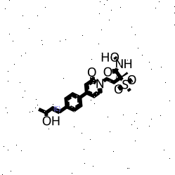 CC(O)/C=C/c1ccc(-c2ccn(CC[C@](C)(C(=O)NO)S(C)(=O)=O)c(=O)c2)cc1